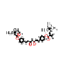 CC(C)(C)CCC1(C(=O)Oc2ccc(C=CC(=O)CC(=O)C=Cc3ccc(OC(=O)CC(C)(C)C)cc3)cc2)CC1